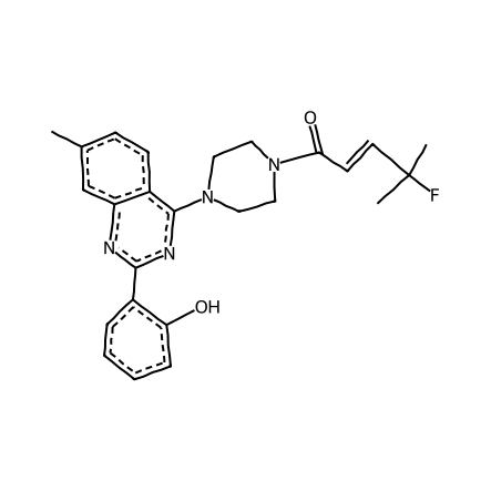 Cc1ccc2c(N3CCN(C(=O)/C=C/C(C)(C)F)CC3)nc(-c3ccccc3O)nc2c1